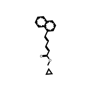 C1CC1.COC(=O)C=CC=Cc1cccc2ccccc12